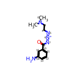 CN(C)CCN=[N+]=NC(=O)c1cccc(N)c1